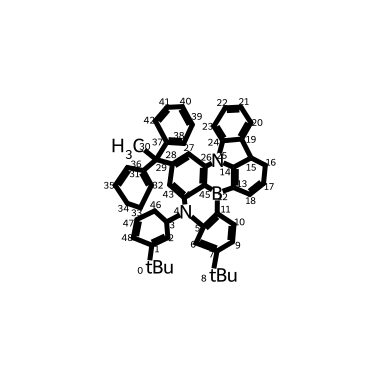 CC(C)(C)C1=CC(N2c3cc(C(C)(C)C)ccc3B3C4=C5C(CC=C4)c4ccccc4N5c4cc(C(C)(C5=CCCC=C5)c5ccccc5)cc2c43)CC=C1